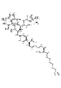 CCCCCCCOc1ccc(-c2cnc(-c3ccc(C[C@H](NC(=O)c4ccc(C(C)(C)C)cc4)C(=O)NC(c4c(C)n[nH]c4C)C(O)O)cc3)nc2)cc1